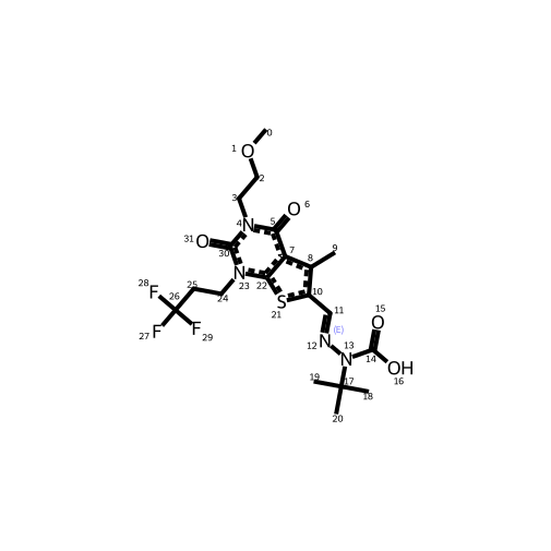 COCCn1c(=O)c2c(C)c(/C=N/N(C(=O)O)C(C)(C)C)sc2n(CCC(F)(F)F)c1=O